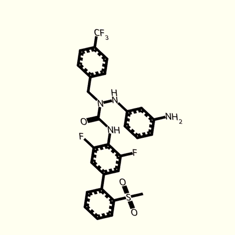 CS(=O)(=O)c1ccccc1-c1cc(F)c(NC(=O)N(Cc2ccc(C(F)(F)F)cc2)Nc2cccc(N)c2)c(F)c1